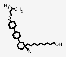 CC(C)CCOc1ccc(-c2ccc(C3CCCC(C#N)(CCCCCCCCCO)C3)cc2)cc1